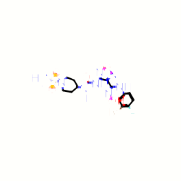 NS(=O)(=O)N1CCC(NC(=O)Nc2nonc2/C(=N/O)Nc2ccc(F)c(Br)c2)CC1